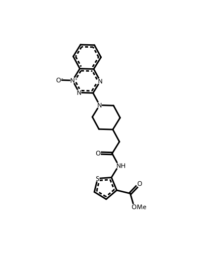 COC(=O)c1ccsc1NC(=O)CC1CCN(c2nc3ccccc3[n+]([O-])n2)CC1